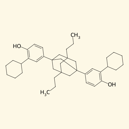 CCCC12CC3(CCC)CC(c4ccc(O)c(C5CCCCC5)c4)(C1)CC(c1ccc(O)c(C4CCCCC4)c1)(C2)C3